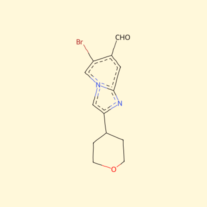 O=Cc1cc2nc(C3CCOCC3)cn2cc1Br